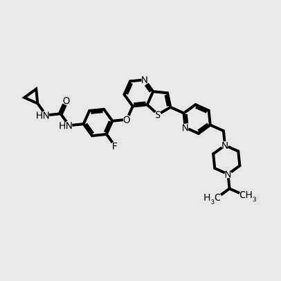 CC(C)N1CCN(Cc2ccc(-c3cc4nccc(Oc5ccc(NC(=O)NC6CC6)cc5F)c4s3)nc2)CC1